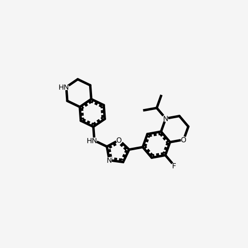 CC(C)N1CCOc2c(F)cc(-c3cnc(Nc4ccc5c(c4)CNCC5)o3)cc21